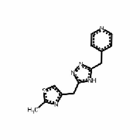 Cc1nc(Cc2nnc(Cc3ccncc3)[nH]2)cs1